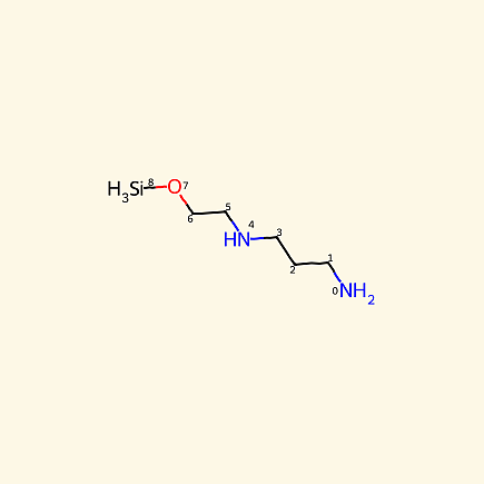 NCCCNCCO[SiH3]